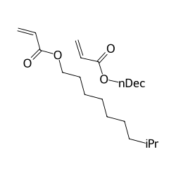 C=CC(=O)OCCCCCCCC(C)C.C=CC(=O)OCCCCCCCCCC